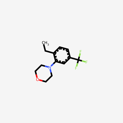 CCc1ccc(C(F)(F)F)cc1N1CCOCC1